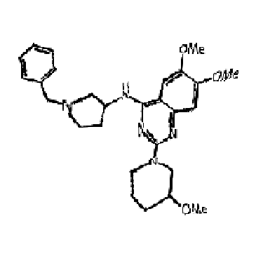 COc1cc2nc(N3CCCC(OC)C3)nc(NC3CCN(Cc4ccccc4)C3)c2cc1OC